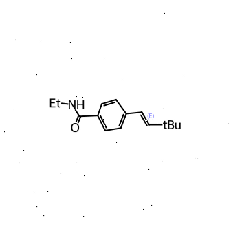 CCNC(=O)c1ccc(/C=C/C(C)(C)C)cc1